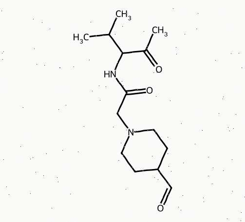 CC(=O)C(NC(=O)CN1CCC(C=O)CC1)C(C)C